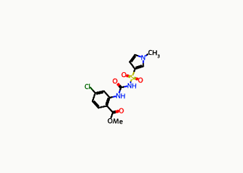 COC(=O)c1ccc(Cl)cc1NC(=O)NS(=O)(=O)c1ccn(C)c1